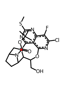 CSc1nc2c3c(nc(Cl)c(F)c3n1)OC(CO)C1C3CCC(CN21)N3C(=O)OC(C)(C)C